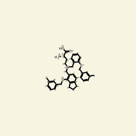 Cc1cccc(COc2ccccc2CN(CC[C@H](N)C(=O)O)Cc2ccc3c(c2OCc2cccc(C)c2)CCC3)c1